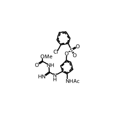 COC(=O)NC(=N)Nc1cc(OS(=O)(=O)c2ccccc2Cl)ccc1NC(C)=O